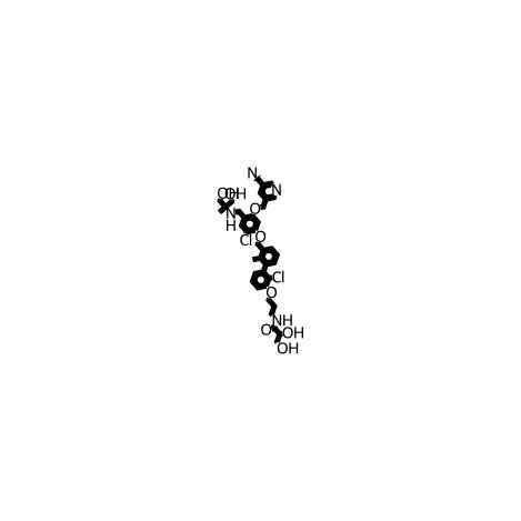 Cc1c(COc2cc(OCc3cncc(C#N)c3)c(CNC(C)(CO)CO)cc2Cl)cccc1-c1cccc(OCCCNC(=O)C(O)CO)c1Cl